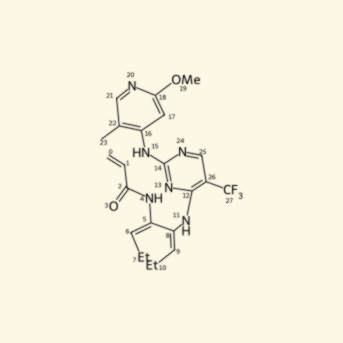 C=CC(=O)NC(=C/CC)/C(=C\CC)Nc1nc(Nc2cc(OC)ncc2C)ncc1C(F)(F)F